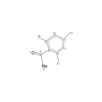 Cc1cc(C)c([C](=O)[Na])c(C)c1